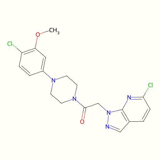 COc1cc(N2CCN(C(=O)Cn3ncc4ccc(Cl)nc43)CC2)ccc1Cl